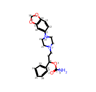 NC(=O)OC(CCN1CCN(c2ccc3c(c2)OCO3)CC1)c1ccccc1